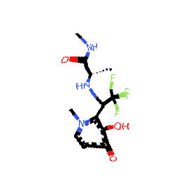 CNC(=O)[C@H](C)NC(c1c(O)c(=O)ccn1C)C(F)(F)F